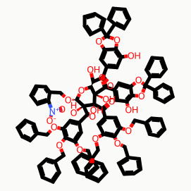 O=C(c1cc(O)c2c(c1)OC(c1ccccc1)(c1ccccc1)O2)C(O)[C@H]1O[C@@H](OCc2ccccc2[N+](=O)[O-])[C@@](O)(C(=O)c2cc(OCc3ccccc3)c(OCc3ccccc3)c(OCc3ccccc3)c2)[C@](O)(C(=O)c2cc(OCc3ccccc3)c(OCc3ccccc3)c(OCc3ccccc3)c2)[C@@]1(O)C(=O)c1cc(O)c2c(c1)OC(c1ccccc1)(c1ccccc1)O2